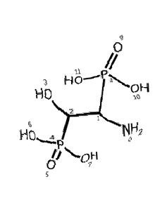 NC(C(O)P(=O)(O)O)P(=O)(O)O